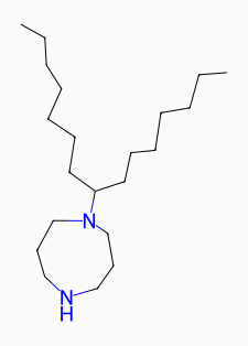 CCCCCCCC(CCCCCCC)N1CCCNCCC1